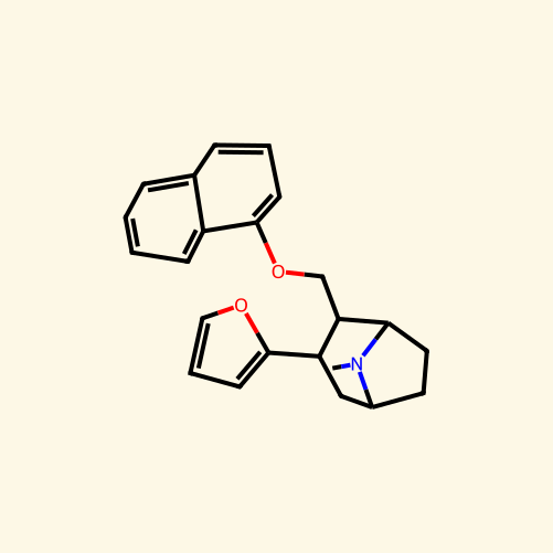 CN1C2CCC1C(COc1cccc3ccccc13)C(c1ccco1)C2